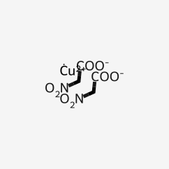 O=C([O-])C[N+](=O)[O-].O=C([O-])C[N+](=O)[O-].[Cu+2]